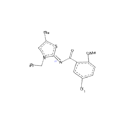 COc1ccc(C(F)(F)F)cc1C(=O)/N=c1\sc(C(C)(C)C)cn1CC(C)C